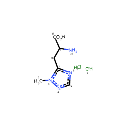 Cl.Cl.Cn1ncnc1CC(N)C(=O)O